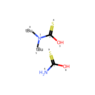 CC(C)(C)N(C(O)=S)C(C)(C)C.NC(O)=S